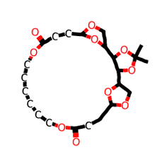 CC1(C)OC2C3COC(CCC(=O)OCCCCCCOC(=O)CCC4OCC(O4)C2O1)O3